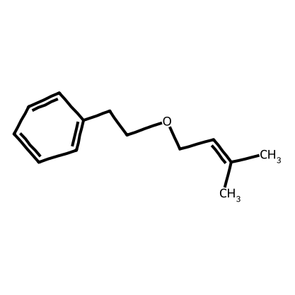 CC(C)=CCOCCc1ccccc1